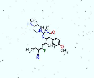 C=C/C(C#N)=C(F)\C=C(/C)c1nc(N2CCC(NC)CC2)n(C)c(=O)c1-c1ccc(OC)cc1